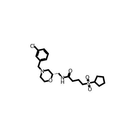 O=C(CCCS(=O)(=O)C1CCCC1)NC[C@H]1CN(Cc2cccc(Cl)c2)CCO1